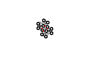 [2H]c1c(-n2c3ccccc3c3ccccc32)c([2H])c([Si](c2ccccc2)(c2ccccc2)c2c([2H])c(-n3c4ccccc4c4ccccc43)c([2H])c(-n3c4ccccc4c4ccccc43)c2[2H])c([2H])c1-n1c2ccccc2c2ccccc21